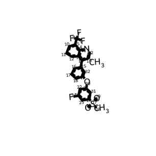 Cc1cnc2c(C(F)(F)F)cccc2c1-c1cccc(Oc2cc(F)cc(S(C)(=O)=O)c2)c1